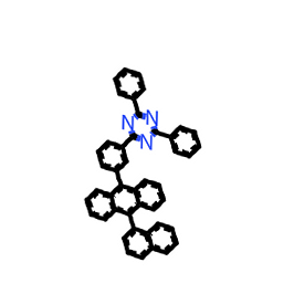 c1ccc(-c2nc(-c3ccccc3)nc(-c3cccc(-c4c5ccccc5c(-c5cccc6ccccc56)c5ccccc45)c3)n2)cc1